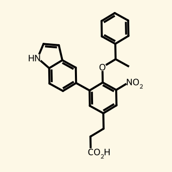 CC(Oc1c(-c2ccc3[nH]ccc3c2)cc(CCC(=O)O)cc1[N+](=O)[O-])c1ccccc1